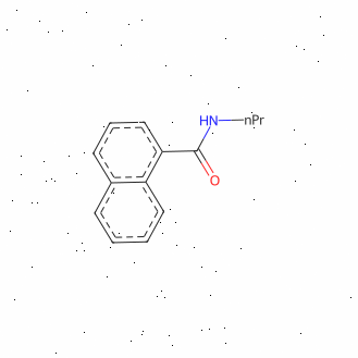 CCCNC(=O)c1cccc2ccccc12